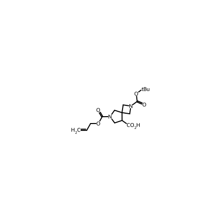 C=CCOC(=O)N1CC(C(=O)O)C2(C1)CN(C(=O)OC(C)(C)C)C2